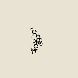 O=c1oc2ccc(-c3ccc(F)cc3F)cc2c(=O)n1-c1ccc(C(F)(F)F)cc1